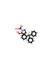 O=C[C@@H]1C[C@@H](SC(c2ccccc2)(c2ccccc2)c2ccccc2)CN1C(=O)O